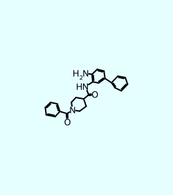 Nc1ccc(-c2ccccc2)cc1NC(=O)C1CCN(C(=O)c2ccccc2)CC1